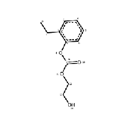 CCc1ccccc1OS(=O)OCCO